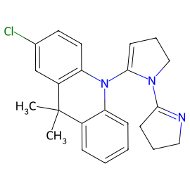 CC1(C)c2ccccc2N(C2=CCCN2C2=NCCC2)c2ccc(Cl)cc21